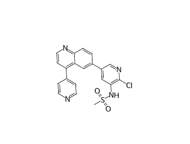 CS(=O)(=O)Nc1cc(-c2ccc3nccc(-c4ccncc4)c3c2)cnc1Cl